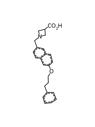 O=C(O)C1CN(Cc2ccc3cc(OCCCc4ccccc4)ccc3c2)C1